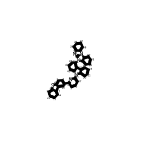 c1cc(-c2ccc3sc4ccccc4c3c2)nc(-n2c3ccccc3c3c(-n4c5ccccc5n5c6ccccc6nc45)cccc32)c1